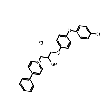 OC(COc1ccc(Oc2ccc(Cl)cc2)cc1)C[n+]1ccc(-c2ccccc2)cc1.[Cl-]